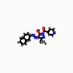 CC1=NN(C(=O)c2ccncc2)C(=O)C1N=Nc1ccc2ccccc2c1